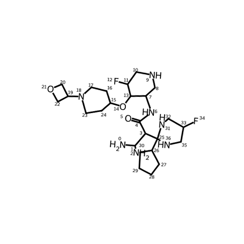 NC(N)C(C(=O)NC1CNCC(F)C1OC1CCN(C2COC2)CC1)C1(C2CCCC2)NCC(F)CN1